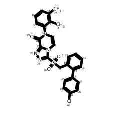 Cc1c(-n2ccn3c(S(=O)(=O)Cc4ccccc4-c4ccc(Cl)cc4)nnc3c2=O)cccc1C(F)(F)F